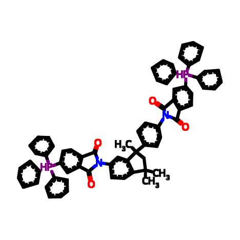 CC1(C)CC(C)(c2ccc(N3C(=O)c4ccc([PH](c5ccccc5)(c5ccccc5)c5ccccc5)cc4C3=O)cc2)c2cc(N3C(=O)c4ccc([PH](c5ccccc5)(c5ccccc5)c5ccccc5)cc4C3=O)ccc21